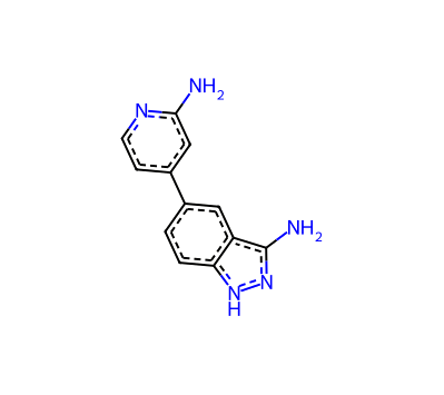 Nc1cc(-c2ccc3[nH]nc(N)c3c2)ccn1